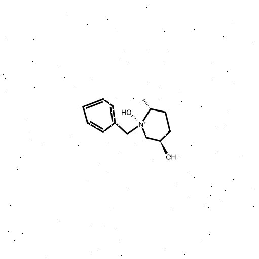 C[C@@H]1CC[C@@H](O)C[N@@+]1(O)Cc1ccccc1